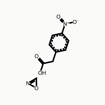 C1=NO1.O=C(O)Cc1ccc([N+](=O)[O-])cc1